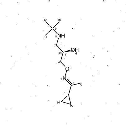 CC(=NOC[C@H](O)CNC(C)(C)C)C1CC1